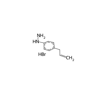 Br.C=CCc1ccc(NN)cc1